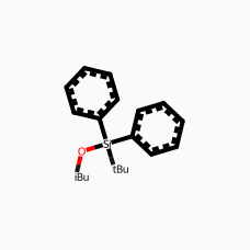 CCC(C)O[Si](c1ccccc1)(c1ccccc1)C(C)(C)C